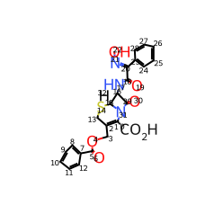 O=C(O)C1=C(COC(=O)c2ccccc2)CS[C@H]2[C@H](NC(=O)C(=NO)c3ccccc3)C(=O)N12